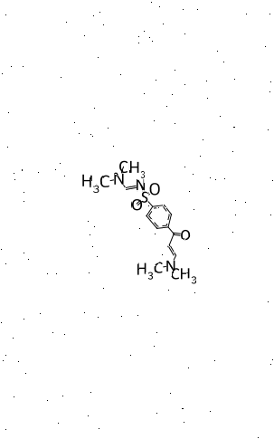 CN(C)C=CC(=O)c1ccc(S(=O)(=O)N=CN(C)C)cc1